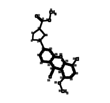 COC(=O)C1CCN(c2ccc3c(=O)c4c(OC)ccc(Cl)c4oc3c2)C1